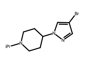 CC(C)N1CCC(n2cc(Br)cn2)CC1